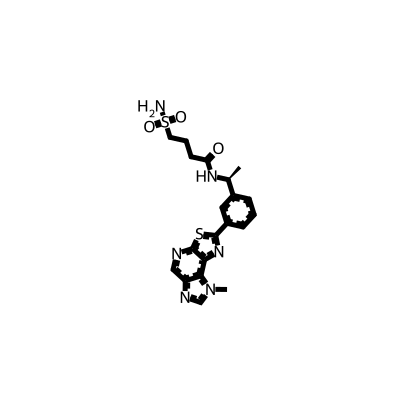 C[C@H](NC(=O)CCCS(N)(=O)=O)c1cccc(-c2nc3c(ncc4ncn(C)c43)s2)c1